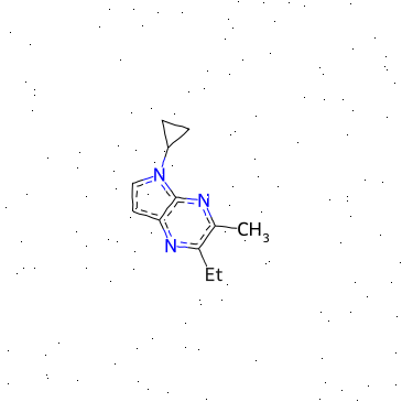 CCc1nc2ccn(C3CC3)c2nc1C